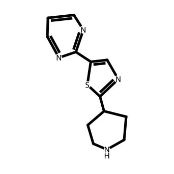 c1cnc(-c2cnc(C3CCNCC3)s2)nc1